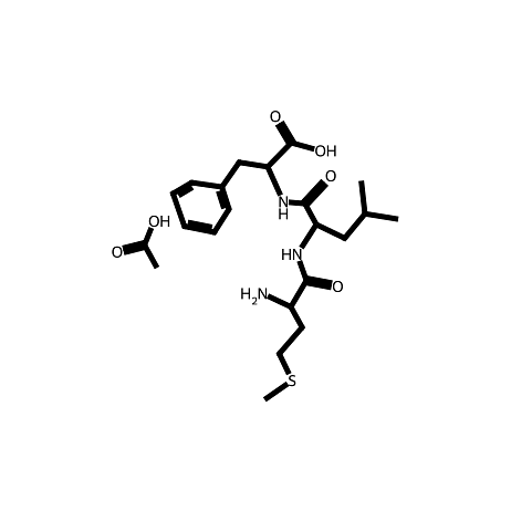 CC(=O)O.CSCCC(N)C(=O)NC(CC(C)C)C(=O)NC(Cc1ccccc1)C(=O)O